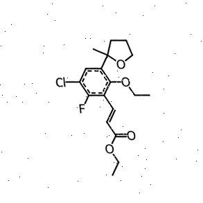 CCOC(=O)/C=C/c1c(F)c(Cl)cc(C2(C)CCCO2)c1OCC